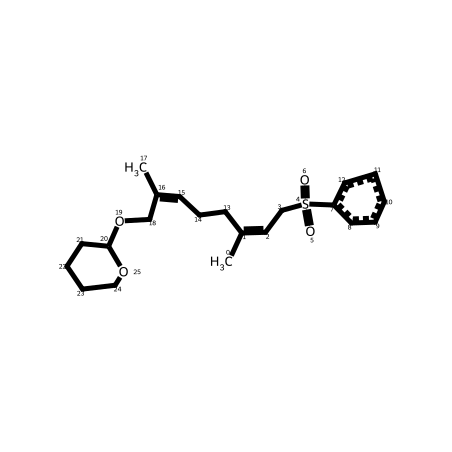 C/C(=C/CS(=O)(=O)c1ccccc1)CC/C=C(/C)COC1CCCCO1